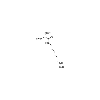 CCCCCCCCC(CCCCCC)C(=O)NCCCCCCNCCCC